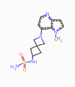 Cn1ccc2nccc(N3CC4(CC(NS(N)(=O)=O)C4)C3)c21